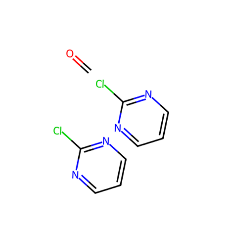 C=O.Clc1ncccn1.Clc1ncccn1